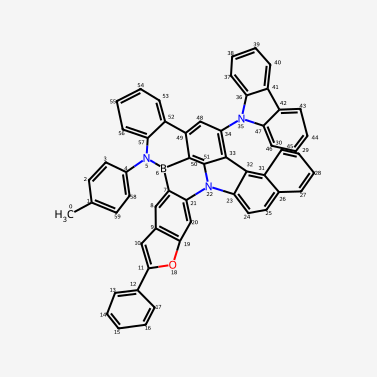 Cc1ccc(N2B3c4cc5cc(-c6ccccc6)oc5cc4-n4c5ccc6ccccc6c5c5c(-n6c7ccccc7c7ccccc76)cc(c3c54)-c3ccccc32)cc1